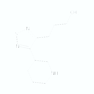 CCCCc1nsnc1C1CCCNC1